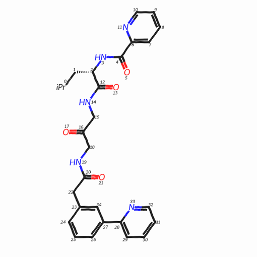 CC(C)C[C@H](NC(=O)c1ccccn1)C(=O)NCC(=O)CNC(=O)Cc1cccc(-c2ccccn2)c1